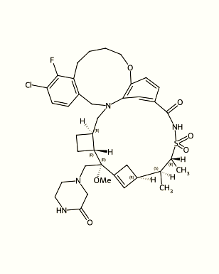 CO[C@@]1(CN2CCNC(=O)C2)C2=C[C@@H](C2)[C@H](C)[C@@H](C)S(=O)(=O)NC(=O)c2ccc3c(c2)N(Cc2ccc(Cl)c(F)c2CCCCO3)C[C@@H]2CC[C@H]21